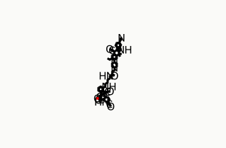 CCc1cc2c(cc1N1CCN(CCC(=O)NCCCCNc3cccc4c(=C=O)n(C5CCC(=C=O)NC5=C=O)c(=C=O)c34)CC1)C(C)(C)c1[nH]c3cc(C#N)ccc3c1C2=C=O